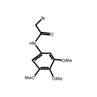 COc1cc(NC(=O)CBr)cc(OC)c1OC